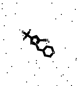 Nc1cc(C(F)(F)F)nn1CC1CCOCC1